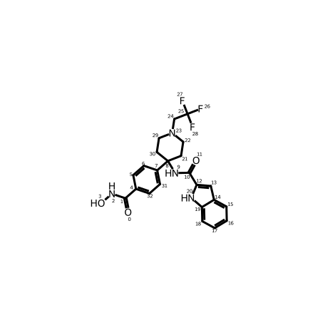 O=C(NO)c1ccc(C2(NC(=O)c3cc4ccccc4[nH]3)CCN(CC(F)(F)F)CC2)cc1